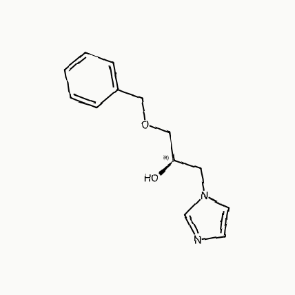 O[C@@H](COCc1ccccc1)Cn1ccnc1